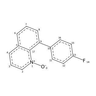 [O-][n+]1cccc2cccc(-c3ccc(F)cc3)c21